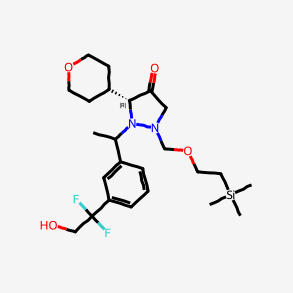 CC(c1cccc(C(F)(F)CO)c1)N1[C@H](C2CCOCC2)C(=O)CN1COCC[Si](C)(C)C